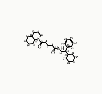 O=C(CCCC(=O)N1CCCC2CCCCC21)NCC(c1ccccc1)C1CCCCC1